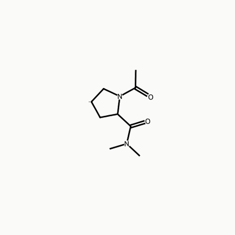 CC(=O)N1C[CH]CC1C(=O)N(C)C